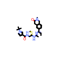 C=S=C(CNC(=O)c1ccn(C(C)(C)C)c1)N/C(C)=N/C(=C\C)c1ccc2c(c1)CC(=O)N(C)C2